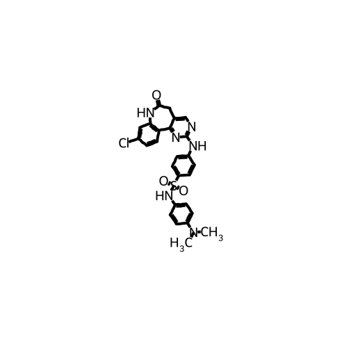 CN(C)c1ccc(NS(=O)(=O)c2ccc(Nc3ncc4c(n3)-c3ccc(Cl)cc3NC(=O)C4)cc2)cc1